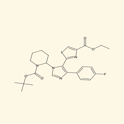 CCOC(=O)c1csc(-c2c(-c3ccc(F)cc3)ncn2C2CCCCN2C(=O)OC(C)(C)C)n1